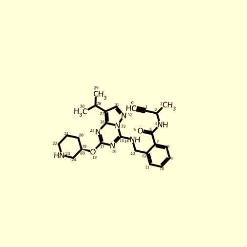 C#CC(C)NC(=O)c1ccccc1CNc1nc(O[C@@H]2CCCNC2)nc2c(C(C)C)cnn12